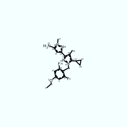 CCOc1cc(F)c(Cn2nc(-c3cc(N)n(C)n3)c(C)c2C2CC2)c(F)c1